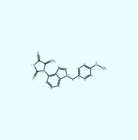 C=C1C(=O)SC(=O)N1c1cccc2c1ccn2Cc1ccc(OC)cc1